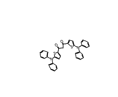 O=C(CC(=O)c1ccc(N(c2ccccc2)c2ccccc2)s1)c1ccc(N(c2ccccc2)c2ccccc2)s1